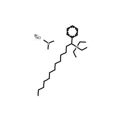 CCCCCCCCCCCCC(c1ccccc1)[N+](CC)(CC)CC.CN(C)C.Cl.[Br-]